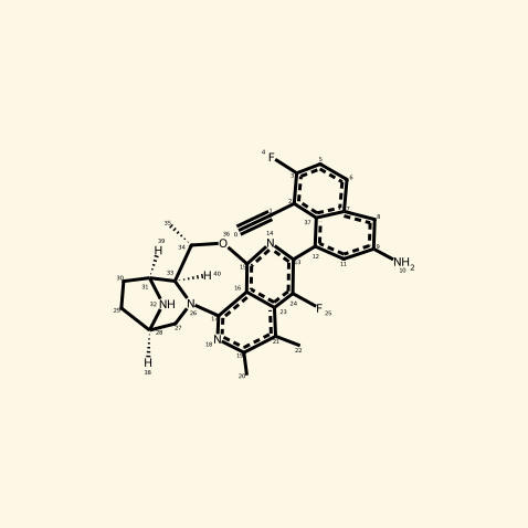 C#Cc1c(F)ccc2cc(N)cc(-c3nc4c5c(nc(C)c(C)c5c3F)N3C[C@H]5CC[C@H](N5)[C@H]3[C@H](C)O4)c12